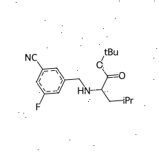 CC(C)CC(NCc1cc(F)cc(C#N)c1)C(=O)OC(C)(C)C